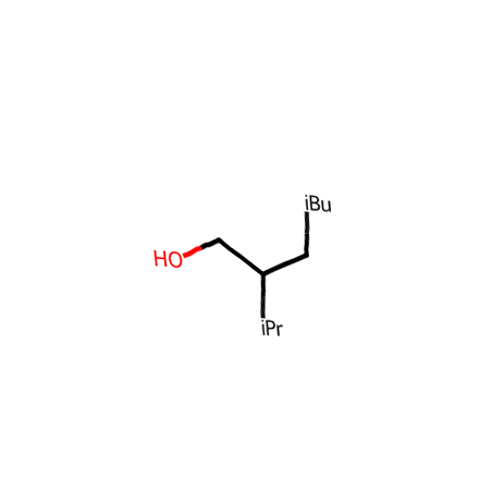 CCC(C)CC(CO)C(C)C